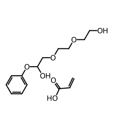 C=CC(=O)O.OCCOCCOCC(O)Oc1ccccc1